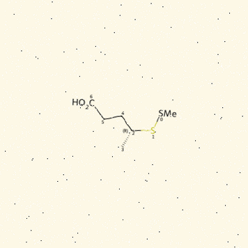 CSS[C@H](C)CCC(=O)O